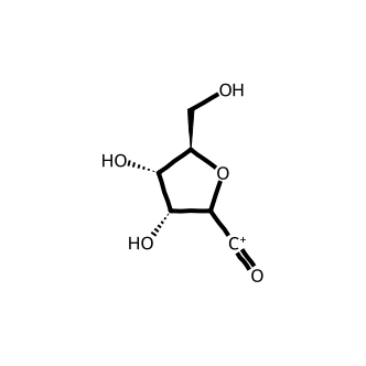 O=[C+]C1O[C@H](CO)[C@@H](O)[C@H]1O